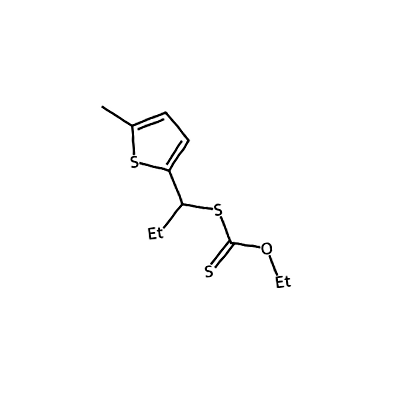 CCOC(=S)SC(CC)c1ccc(C)s1